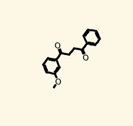 COc1cccc(C(=O)CCC(=O)c2ccccc2)c1